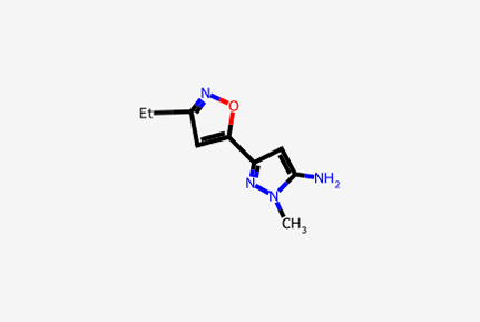 CCc1cc(-c2cc(N)n(C)n2)on1